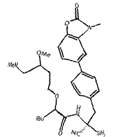 CCC(C)C(OCCC(CNC)OC)C(=O)N[C@@]([SiH3])(C#N)Cc1ccc(-c2ccc3oc(=O)n(C)c3c2)cc1